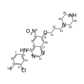 O=[N+]([O-])c1cc2c(Nc3ccc(F)c(Cl)c3)ncnc2cc1OCCCN1CCNCC1